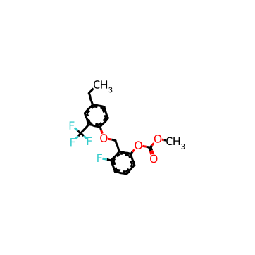 CCc1ccc(OCc2c(F)cccc2OC(=O)OC)c(C(F)(F)F)c1